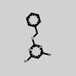 Brc1cc(Br)nc(OCc2ccccc2)n1